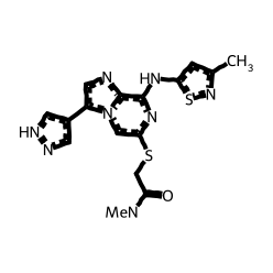 CNC(=O)CSc1cn2c(-c3cn[nH]c3)cnc2c(Nc2cc(C)ns2)n1